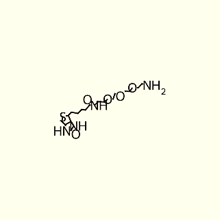 NCCOCCOCCOCCNC(=O)CCCCC1SCC2NC(=O)NC21